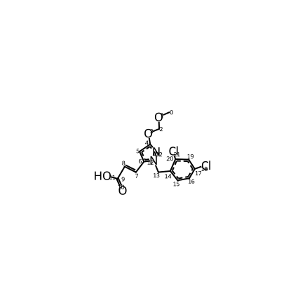 COCOc1cc(C=CC(=O)O)n(Cc2ccc(Cl)cc2Cl)n1